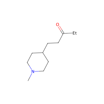 CCC(=O)CCC1CCN(C)CC1